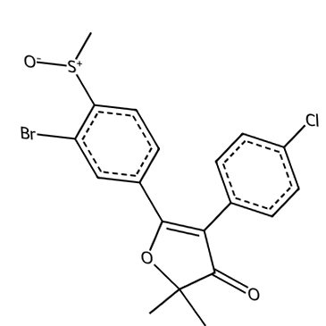 C[S+]([O-])c1ccc(C2=C(c3ccc(Cl)cc3)C(=O)C(C)(C)O2)cc1Br